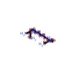 C[C@@H](NC(=O)[C@H](CCCCNC(=O)CNC(=O)CNC(=O)CNC(=O)CNC(=O)CNC(=O)[C@@H](C)NC(=O)[C@H](CCCCN)NC(=O)CCCC(N)=O)NC(=O)CCCC(N)=O)C(N)=O